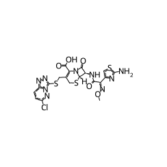 CO/N=C(\C(=O)N[C@@H]1C(=O)N2C(C(=O)O)=C(CSc3nnc4ccc(Cl)nn34)CS[C@@H]12)c1csc(N)n1